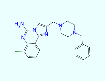 Nc1nc2c(F)cccc2c2nc(CN3CCN(Cc4ccccc4)CC3)cn12